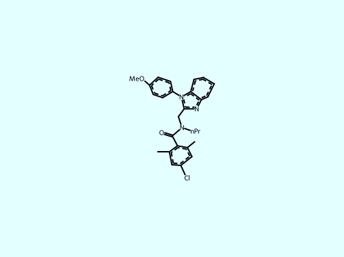 CCCN(Cc1nc2ccccc2n1-c1ccc(OC)cc1)C(=O)c1c(C)cc(Cl)cc1C